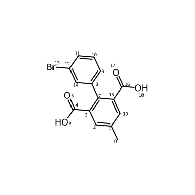 Cc1cc(C(=O)O)c(-c2cccc(Br)c2)c(C(=O)O)c1